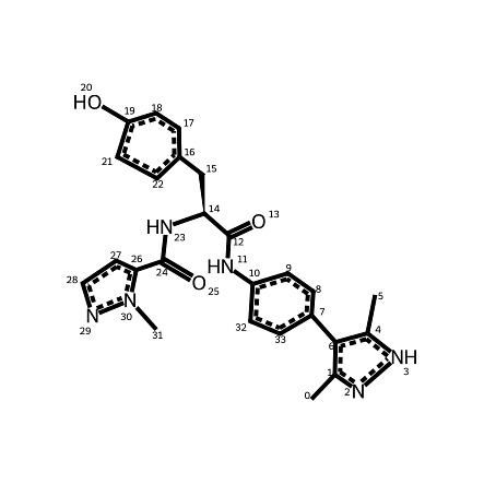 Cc1n[nH]c(C)c1-c1ccc(NC(=O)[C@H](Cc2ccc(O)cc2)NC(=O)c2ccnn2C)cc1